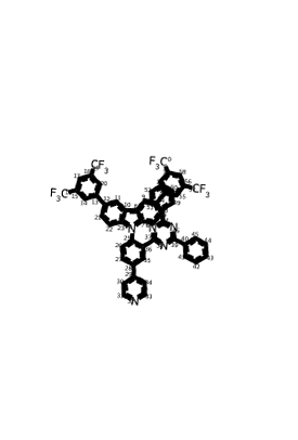 FC(F)(F)c1cc(-c2ccc3c(c2)c2cc(-c4cc(C(F)(F)F)cc(C(F)(F)F)c4)ccc2n3-c2ccc(-c3ccncc3)cc2-c2nc(-c3ccccc3)nc(-c3ccccc3)n2)cc(C(F)(F)F)c1